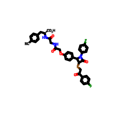 N#Cc1ccc(C[C@@H](NC(=O)CNC(=O)COc2ccc(C3C(SCC(=O)c4ccc(F)cc4)C(=O)N3c3ccc(F)cc3)cc2)C(=O)O)cc1